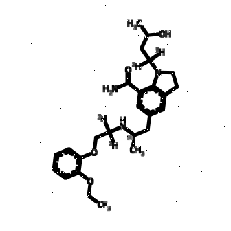 [2H]C([2H])(COc1ccccc1OCC(F)(F)F)N[C@H](C)Cc1cc2c(c(C(N)=O)c1)N(C([2H])([2H])CC(C)O)CC2